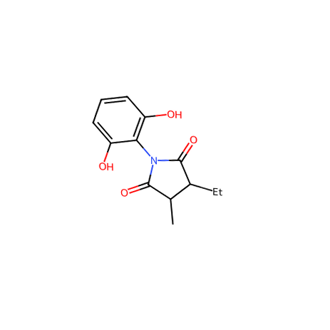 CCC1C(=O)N(c2c(O)cccc2O)C(=O)C1C